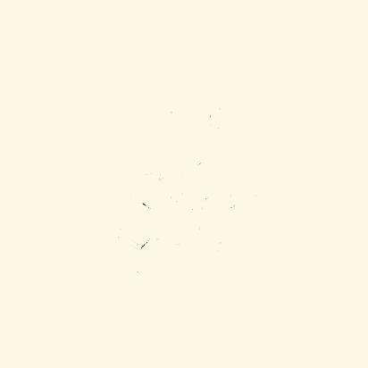 C[SiH](C)O[C@H]1C(O)O[C@@H](C(=O)O)[C@@H](OC(C)(C)C)[C@@H]1OCc1ccccc1